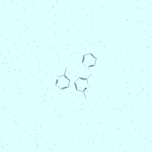 Cc1cccc(C)n1.Cc1ccccn1.c1ccncc1